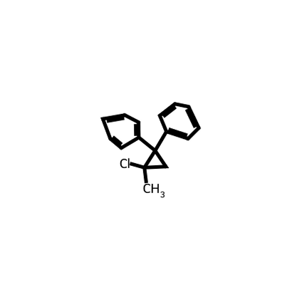 CC1(Cl)CC1(c1ccccc1)c1ccccc1